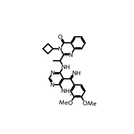 COc1ccc(C(=N)c2c(N)ncnc2NC(C)c2nc3ccccc3c(=O)n2C2CCC2)cc1OC